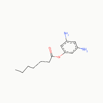 CCCCCCC(=O)Oc1cc(N)cc(N)c1